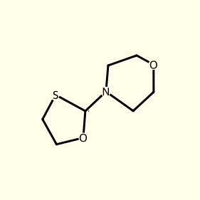 C1CN([C]2OCCS2)CCO1